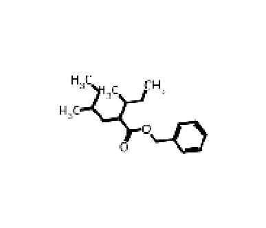 CCC(C)CC(C(=O)OCc1ccccc1)C(C)CC